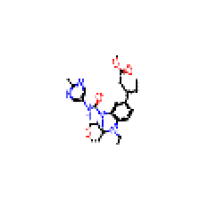 CCC(CC(=O)OC)c1ccc(N(CC)C2CCOCC2)c(NC(=O)Nc2cnc(C)nc2)c1